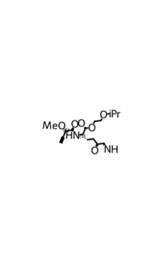 C#C[C@H](OC)C(=O)N[C@@H](CCC(=O)C=N)C(=O)OCCOC(C)C